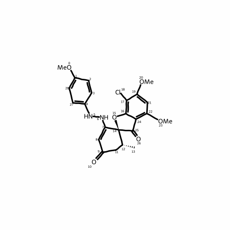 COc1ccc(NNC2=CC(=O)C[C@@H](C)[C@]23Oc2c(Cl)c(OC)cc(OC)c2C3=O)cc1